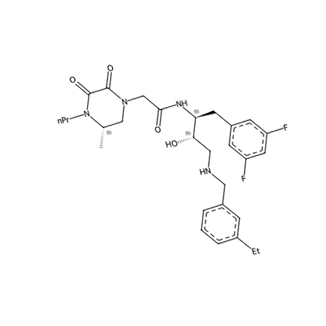 CCCN1C(=O)C(=O)N(CC(=O)N[C@@H](Cc2cc(F)cc(F)c2)[C@@H](O)CNCc2cccc(CC)c2)C[C@@H]1C